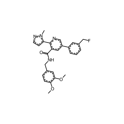 COc1ccc(CNC(=O)c2cc(-c3cccc(CF)c3)cnc2-c2ccnn2C)cc1OC